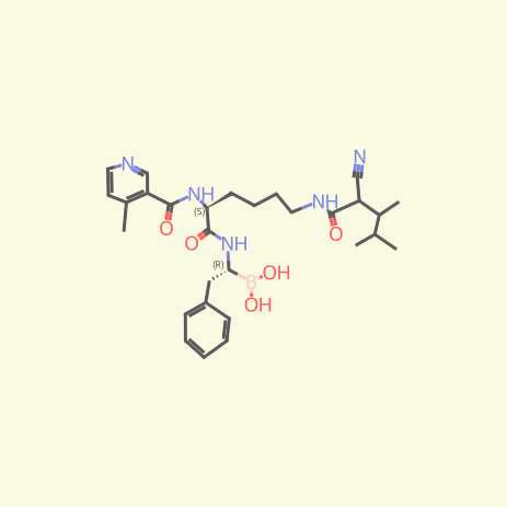 Cc1ccncc1C(=O)N[C@@H](CCCCNC(=O)C(C#N)C(C)C(C)C)C(=O)N[C@@H](Cc1ccccc1)B(O)O